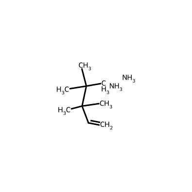 C=CC(C)(C)C(C)(C)C.N.N